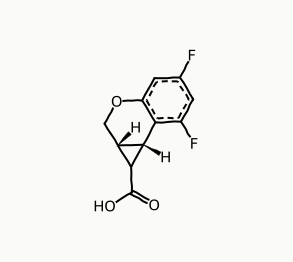 O=C(O)C1[C@H]2c3c(F)cc(F)cc3OC[C@@H]12